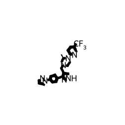 C[C@@H]1CN(Cc2c[nH]nc2-c2ccc(-n3cccn3)cc2)CCN1c1ccc(C(F)(F)F)cn1